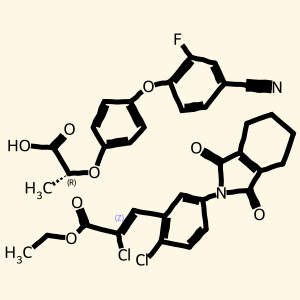 CCOC(=O)/C(Cl)=C/c1cc(N2C(=O)C3=C(CCCC3)C2=O)ccc1Cl.C[C@@H](Oc1ccc(Oc2ccc(C#N)cc2F)cc1)C(=O)O